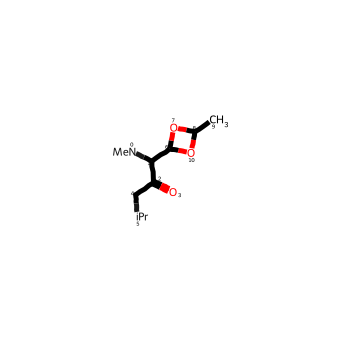 CNC(C(=O)CC(C)C)C1OC(C)O1